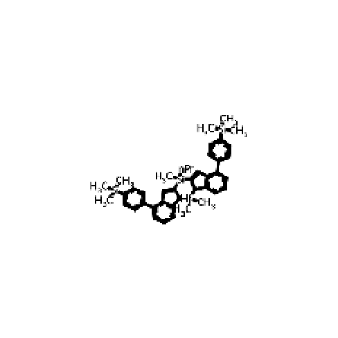 CCC[Si]1(C)C2=Cc3c(-c4ccc([Si](C)(C)C)cc4)cccc3[CH]2[Hf]([CH3])([CH3])[CH]2C1=Cc1c(-c3ccc([Si](C)(C)C)cc3)cccc12